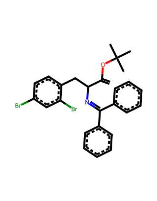 C=C(OC(C)(C)C)C(Cc1ccc(Br)cc1Br)N=C(c1ccccc1)c1ccccc1